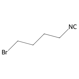 [C-]#[N+]CCCCBr